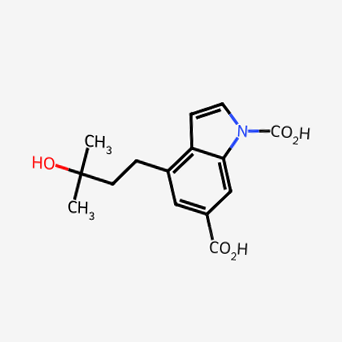 CC(C)(O)CCc1cc(C(=O)O)cc2c1ccn2C(=O)O